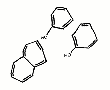 Oc1ccccc1.Oc1ccccc1.c1ccc2ccccc2c1